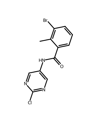 Cc1c(Br)cccc1C(=O)Nc1cnc(Cl)nc1